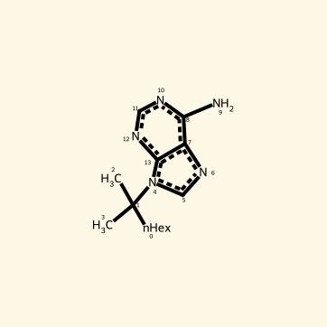 CCCCCCC(C)(C)n1cnc2c(N)ncnc21